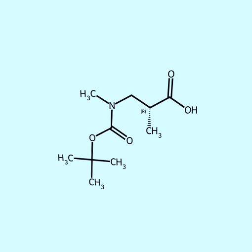 C[C@H](CN(C)C(=O)OC(C)(C)C)C(=O)O